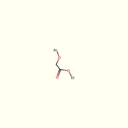 [CH2]C(=O)OCC(=O)OCC